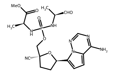 COC(=O)[C@H](C)NP(=O)(N[C@@H](C)C=O)OC[C@]1(C#N)CC[C@H](c2ccc3c(N)ncnn23)O1